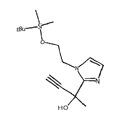 C#CC(C)(O)c1nccn1CCO[Si](C)(C)C(C)(C)C